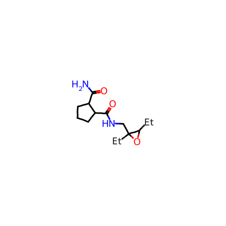 CCC1OC1(CC)CNC(=O)C1CCCC1C(N)=O